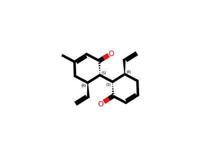 C=C[C@H]1CC=CC(=O)[C@@H]1[C@H]1C(=O)C=C(C)C[C@@H]1C=C